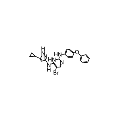 BrC1=C(Nc2cc(C3CC3)[nH]n2)NC(Nc2ccc(Oc3ccccc3)cc2)N=C1